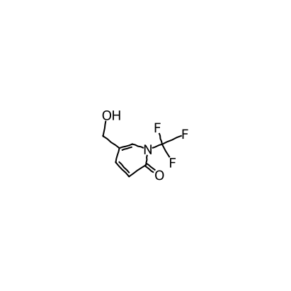 O=c1ccc(CO)cn1C(F)(F)F